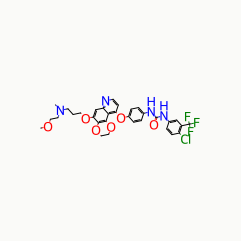 COCCN(C)CCCOc1cc2nccc(Oc3ccc(NC(=O)Nc4ccc(Cl)c(C(F)(F)F)c4)cc3)c2c2c1OCCO2